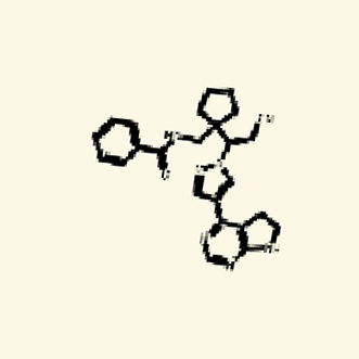 N#CCC(n1cc(-c2ncnc3c2CCN3)cn1)C1(CNC(=O)c2ccccc2)CCCC1